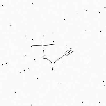 C#CC(C)OC(C)(C)C